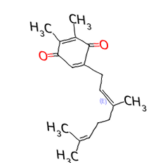 CC(C)=CCC/C(C)=C/CC1=CC(=O)C(C)=C(C)C1=O